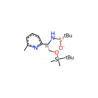 Cc1cccc([C@@H](CO[Si](C)(C)C(C)(C)C)N[S+]([O-])C(C)(C)C)n1